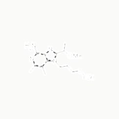 CCCCSCCCn1c(C(C)OC)nc2c(N)nc(C)c(C)c21